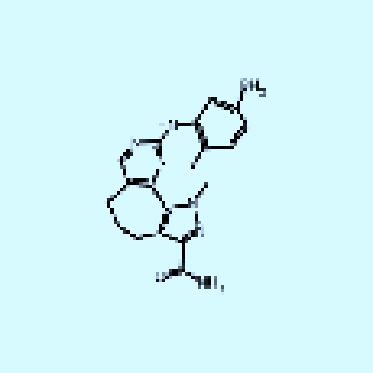 Bc1ccc(C)c(Nc2ncc3c(n2)-c2c(c(C(N)=O)nn2C)CCC3)c1